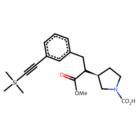 COC(=O)C(Cc1cccc(C#C[Si](C)(C)C)c1)[C@H]1CCN(C(=O)O)C1